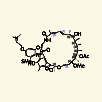 CO[C@H]1/C=C/O[C@@]2(C)Oc3c(C)c(O)c4c(=O)c(c5oc6cc(OCCN(C)C)cc(SC)c6nc-5c4c3C2=O)NC(=O)/C(C)=C\C=C\[C@H](C)[C@H](O)[C@@H](C)[C@@H](C)[C@@H](C)[C@H](OC(C)=O)[C@@H]1C